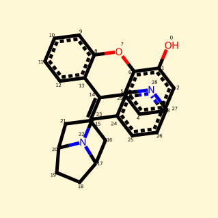 Oc1cccc2c1Oc1ccccc1C2=C1CC2CCC(C1)N2Cc1cccnc1